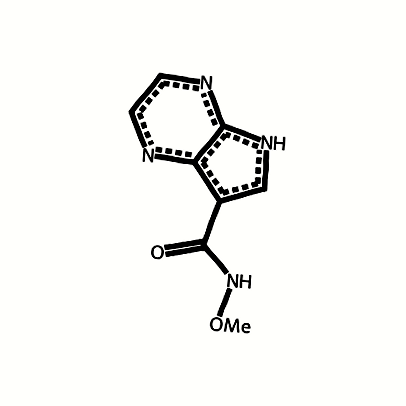 CONC(=O)c1c[nH]c2nccnc12